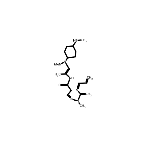 C=C/C=N\C(=C)N(C)/N=C\CC(=O)N/C(C)=C/N(NC)C1CCC(BC)CC1